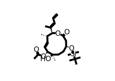 C=C/C=C(\C)[C@H]1OC(=O)C[C@H](O[Si](C)(C)C(C)(C)C)CC[C@@](C)(O)[C@@H](OC(C)=O)/C=C/[C@@H]1C